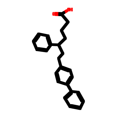 O=C(O)CCCC(CCc1ccc(-c2ccccc2)cc1)c1ccccc1